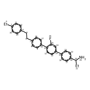 CCc1ccc(CCc2ccc(-c3ccc(-c4ccc(C(N)CC)cc4)cc3F)cc2)cc1